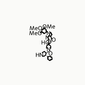 COc1cc(-n2ccc3c(=O)n(CC4(O)CCN(C(=O)[C@@H]5CCNC[C@H]5c5ccccc5)CC4)cnc32)cc(OC)c1OC